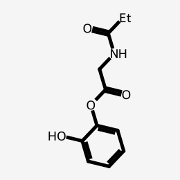 CCC(=O)NCC(=O)Oc1ccccc1O